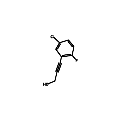 OCC#Cc1cc(Cl)ccc1F